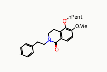 CCCCCOc1c(OC)ccc2c1CCN(CCc1cc[c]cc1)C2=O